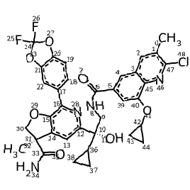 Cc1cc2cc(C(=O)NC[C@](O)(c3cc4c(c(-c5ccc6c(c5)OC(F)(F)O6)n3)OC[C@]4(C)C(N)=O)C3CC3)cc(OC3CC3)c2nc1Cl